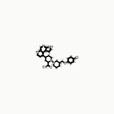 CCC(=O)C1CC(c2ccnc3cnc4[nH]ccc4c23)CCN1N1CCCC(COc2ccc(Cl)cc2)C1